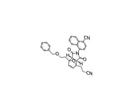 N#CCCC12C=CC(CCOCc3ccccc3)(O1)[C@@H]1C(=O)N(c3ccc(C#N)c4ccccc34)C(=O)[C@@H]12